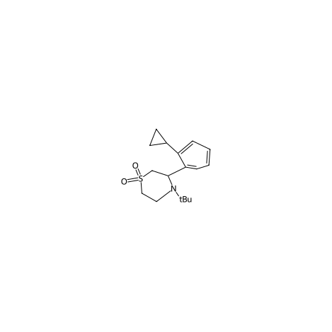 CC(C)(C)N1CCS(=O)(=O)CC1c1ccccc1C1CC1